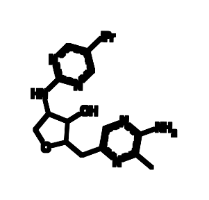 Cc1nc(CC2OCC(Nc3ncc(C(C)C)cn3)C2O)cnc1N